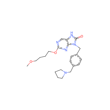 COCCCCOc1ncc2[nH]c(=O)n(Cc3ccc(CN4CCCC4)cc3)c2n1